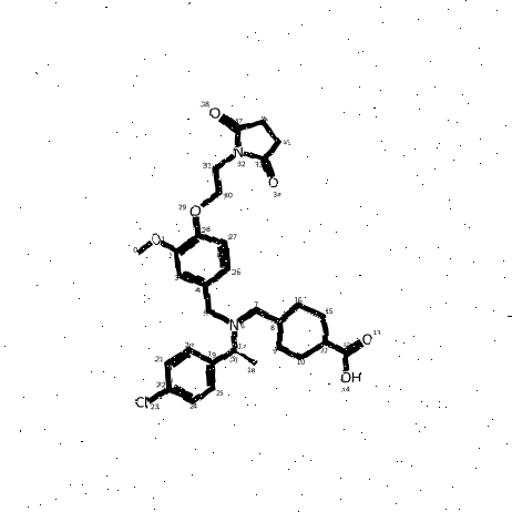 COc1cc(CN(CC2CCC(C(=O)O)CC2)[C@@H](C)c2ccc(Cl)cc2)ccc1OCCN1C(=O)CCC1=O